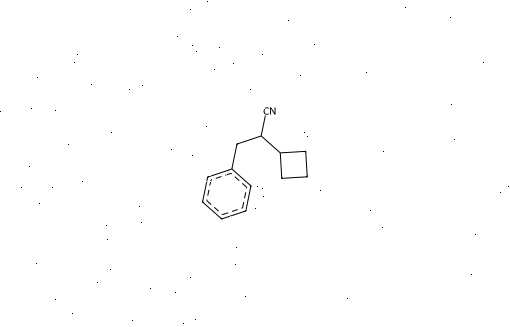 N#CC(Cc1ccccc1)C1CCC1